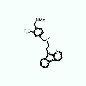 CNCc1ccc(CN(C)CCn2c3ccccc3c3cccnc32)cc1C(F)(F)F